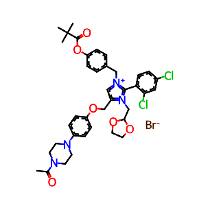 CC(=O)N1CCN(c2ccc(OCc3c[n+](Cc4ccc(OC(=O)C(C)(C)C)cc4)c(-c4ccc(Cl)cc4Cl)n3CC3OCCO3)cc2)CC1.[Br-]